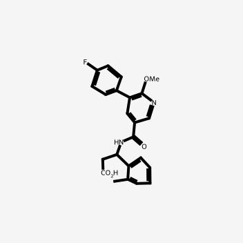 COc1ncc(C(=O)NC(CC(=O)O)c2ccccc2C)cc1-c1ccc(F)cc1